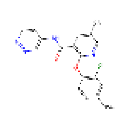 COc1ccc(Oc2ncc(C(F)(F)F)cc2C(=O)Nc2ccnnc2)c(Cl)c1